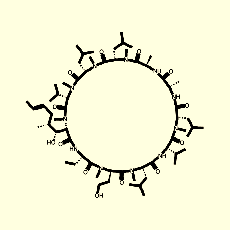 C/C=C/C[C@@H](C)[C@@H](O)[C@H]1C(=O)N[C@@H](CC)C(=O)N(C)[C@H](CCO)C(=O)N(C)[C@@H](CC(C)C)C(=O)N[C@@H](C(C)C)C(=O)N(C)[C@@H](CC(C)C)C(=O)N[C@@H](C)C(=O)N[C@H](C)C(=O)N(C)[C@@H](CC(C)C)C(=O)N(C)[C@@H](CC(C)C)C(=O)N(C)[C@@H](C(C)C)C(=O)N1C